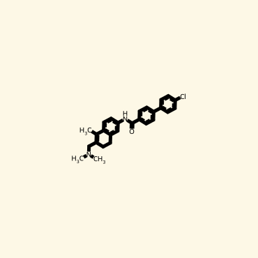 CC1=C(CN(C)C)CCc2cc(NC(=O)c3ccc(-c4ccc(Cl)cc4)cc3)ccc21